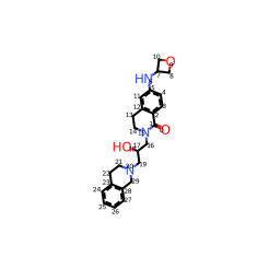 O=C1c2ccc(NC3COC3)cc2CCN1CC(O)CN1CCc2ccccc2C1